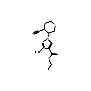 CCOC(=O)c1cn([C@H]2COCCC2C#N)nc1N